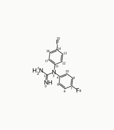 N=C(N)N(c1ccc(F)cc1)c1ccc(F)cc1